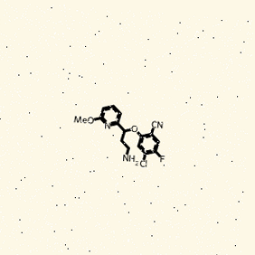 COc1cccc(C(CCN)Oc2cc(Cl)c(F)cc2C#N)n1